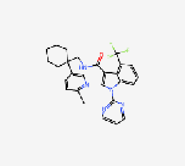 Cc1ccc(C2(CNC(=O)c3cn(-c4ncccn4)c4cccc(C(F)(F)F)c34)CCCCC2)cn1